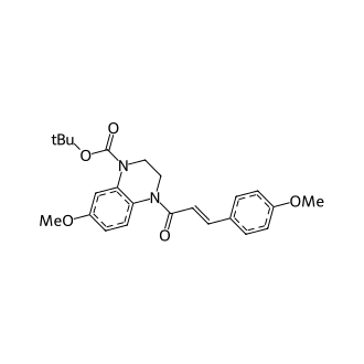 COc1ccc(C=CC(=O)N2CCN(C(=O)OC(C)(C)C)c3cc(OC)ccc32)cc1